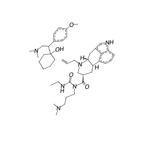 C=CCN1C[C@H](C(=O)N(CCCN(C)C)C(=O)NCC)C[C@@H]2c3cccc4[nH]cc(c34)C[C@H]21.COc1ccc(C(CN(C)C)C2(O)CCCCC2)cc1